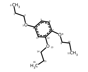 CCCOc1ccc(OCCC)c(OCCC)c1